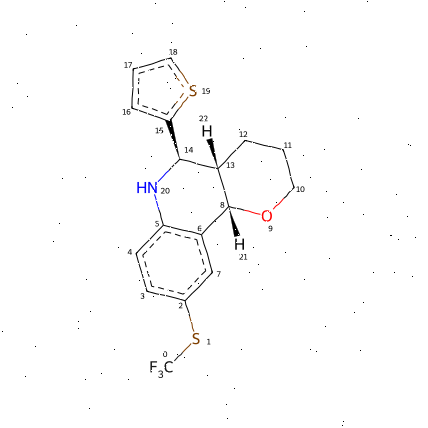 FC(F)(F)Sc1ccc2c(c1)[C@H]1OCCC[C@H]1[C@H](c1cccs1)N2